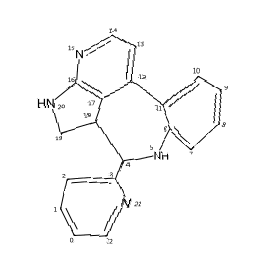 c1ccc(C2Nc3ccccc3-c3ccnc4c3C2CN4)nc1